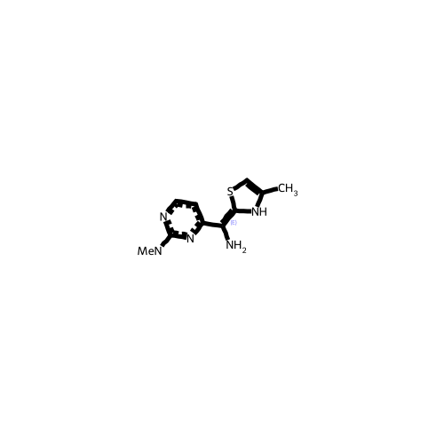 CNc1nccc(/C(N)=C2/NC(C)=CS2)n1